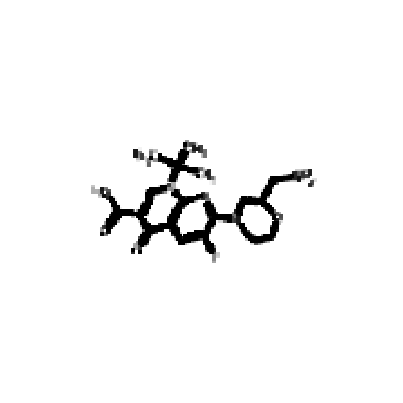 CC(C)(C)n1cc(C(=O)O)c(=O)c2cc(F)c(N3CCOC(CN)C3)nc21